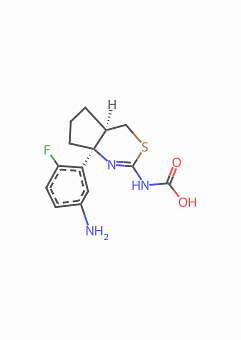 Nc1ccc(F)c([C@]23CCC[C@H]2CSC(NC(=O)O)=N3)c1